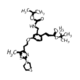 Cc1sc(N2CCOCC2)nc1CCOc1ccc(CCC(=O)OC(C)(C)C)c(CNC(=O)OC(C)C)c1